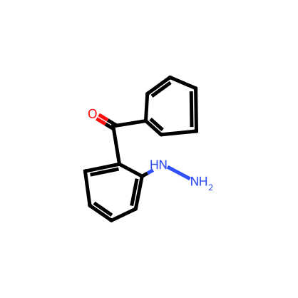 NNc1ccccc1C(=O)c1ccccc1